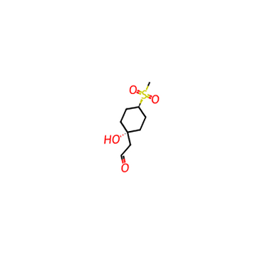 CS(=O)(=O)[C@H]1CC[C@@](O)(CC=O)CC1